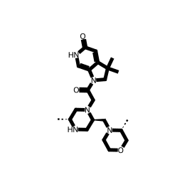 C[C@@H]1CN(CC(=O)N2CC(C)(C)c3cc(=O)[nH]cc32)[C@@H](CN2CCOC[C@H]2C)CN1